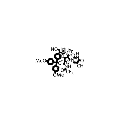 COc1ccc(C(OC[C@@]2(CNC(=O)C(F)(F)F)O[C@@H](n3cc(C)c(=O)[nH]c3=O)C[C@@H]2O[PH](O)(CCC#N)N(C(C)C)C(C)C)(c2ccccc2)c2ccc(OC)cc2)cc1